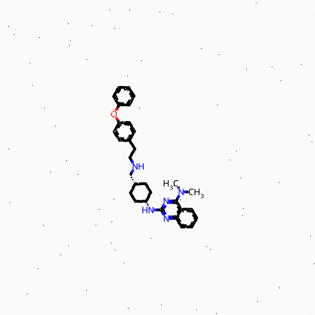 CN(C)c1nc(N[C@H]2CC[C@@H](CNCCc3ccc(Oc4ccccc4)cc3)CC2)nc2ccccc12